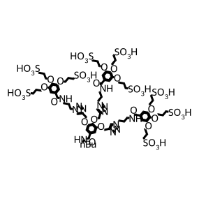 CCCCNC(=O)c1cc(OCc2cn(CCCNC(=O)c3cc(OCCCS(=O)(=O)O)c(OCCCS(=O)(=O)O)c(OCCCS(=O)(=O)O)c3)nn2)c(OCc2cn(CCCNC(=O)c3cc(OCCCS(=O)(=O)O)c(OCCCS(=O)(=O)O)c(OCCCS(=O)(=O)O)c3)nn2)c(OCc2cn(CCCNC(=O)c3cc(OCCCS(=O)(=O)O)c(OCCCS(=O)(=O)O)c(OCCCS(=O)(=O)O)c3)nn2)c1